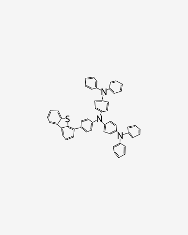 c1ccc(N(c2ccccc2)c2ccc(N(c3ccc(-c4cccc5c4sc4ccccc45)cc3)c3ccc(N(c4ccccc4)c4ccccc4)cc3)cc2)cc1